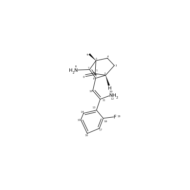 C=C1[C@@H]2CC[C@@]1(C)C(N)=C2/C=C(\N)c1ccccc1F